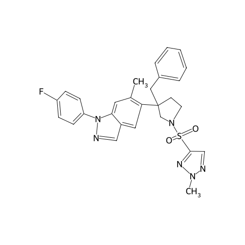 Cc1cc2c(cnn2-c2ccc(F)cc2)cc1C1(Cc2ccccc2)CCN(S(=O)(=O)c2cnn(C)n2)C1